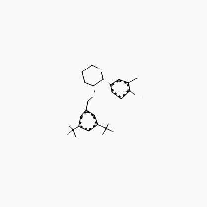 Oc1ccc([C@@H]2NCCC[C@@H]2OCc2cc(C(F)(F)F)cc(C(F)(F)F)c2)cc1I